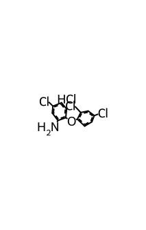 Cl.Nc1cc(Cl)ccc1Oc1ccc(Cl)cc1Cl